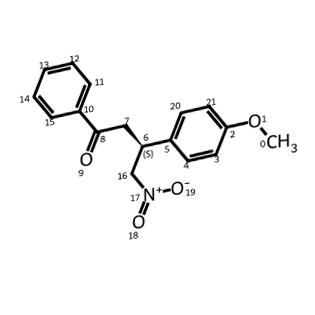 COc1ccc([C@H](CC(=O)c2ccccc2)C[N+](=O)[O-])cc1